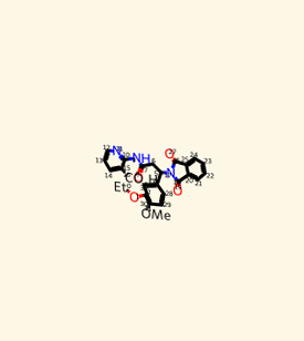 CCOc1cc(C(CC(=O)Nc2ncccc2C(=O)O)N2C(=O)c3ccccc3C2=O)ccc1OC